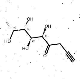 C#CCC(=O)[C@H](O)[C@@H](O)[C@@H](O)[C@@H](C)O